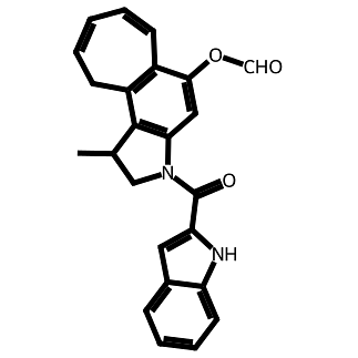 CC1CN(C(=O)c2cc3ccccc3[nH]2)c2cc(OC=O)c3c(c21)CC=CC=C3